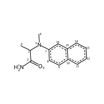 CC(C(N)=O)N(C)c1ccc2ccccc2c1